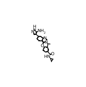 CC(c1cccc(C(=O)NC2CC2)c1)n1cnc2cc(-c3cn[nH]c3N)ccc2c1=O